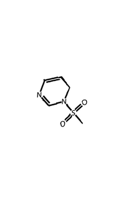 CS(=O)(=O)N1C=NC=CC1